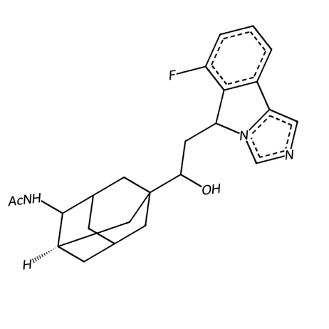 CC(=O)NC1C2CC3C[C@@H]1CC(C(O)CC1c4c(F)cccc4-c4cncn41)(C3)C2